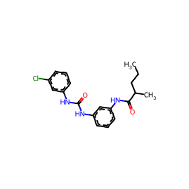 CCCC(C)C(=O)Nc1cccc(NC(=O)Nc2cccc(Cl)c2)c1